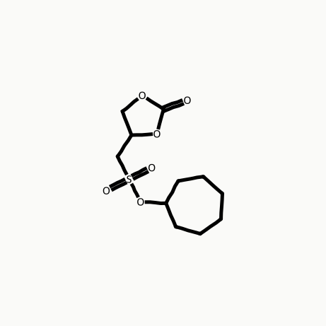 O=C1OCC(CS(=O)(=O)OC2CCCCCC2)O1